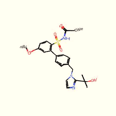 CCCCOc1ccc(S(=O)(=O)NC(=O)OC)c(-c2ccc(Cn3ccnc3C(C)(C)O)cc2)c1